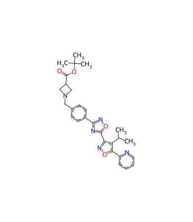 CC(C)c1c(-c2nc(-c3ccc(CN4CC(C(=O)OC(C)(C)C)C4)cc3)no2)noc1-c1ccccn1